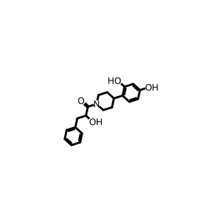 O=C(C(O)Cc1ccccc1)N1CCC(c2ccc(O)cc2O)CC1